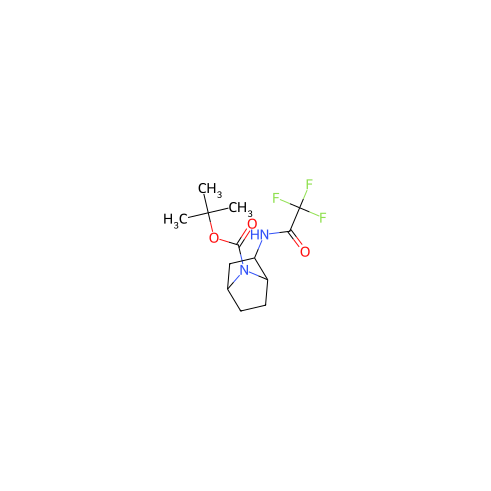 CC(C)(C)OC(=O)N1C2CCC1C(NC(=O)C(F)(F)F)C2